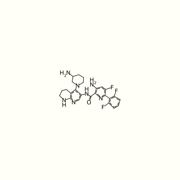 Nc1cc(F)c(-c2c(F)cccc2F)nc1C(=O)Nc1cnc2c(c1N1CCCC(N)C1)CCCN2